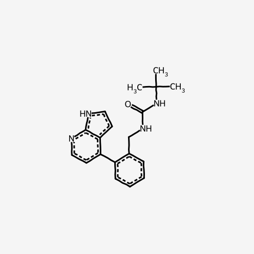 CC(C)(C)NC(=O)NCc1ccccc1-c1ccnc2[nH]ccc12